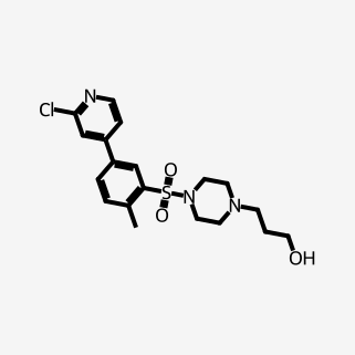 Cc1ccc(-c2ccnc(Cl)c2)cc1S(=O)(=O)N1CCN(CCCO)CC1